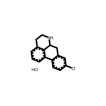 Cl.Clc1ccc2c(c1)CC1NCCc3cccc-2c31